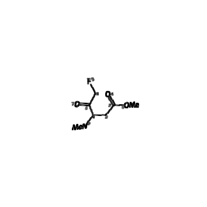 CNC(CC(=O)OC)C(=O)CF